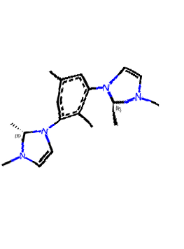 Cc1cc(N2C=CN(C)[C@H]2C)c(C)c(N2C=CN(C)[C@@H]2C)c1